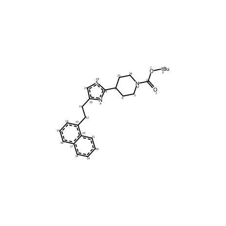 CC(C)(C)OC(=O)N1CCC(c2nc(CCc3cccc4ccccc34)cs2)CC1